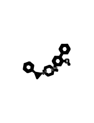 COc1cc([N+]2(C)CCN([C@@H]3C[C@H]3c3ccccc3)CC2)ccc1-c1ccccc1